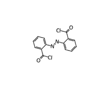 O=C(Cl)c1ccccc1N=Nc1ccccc1C(=O)Cl